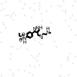 CCS(=O)(=O)Nc1ccc(-c2n[nH]cc2CN(C)CCNC)cc1